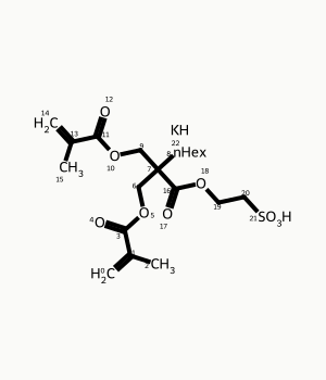 C=C(C)C(=O)OCC(CCCCCC)(COC(=O)C(=C)C)C(=O)OCCS(=O)(=O)O.[KH]